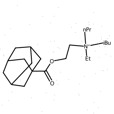 CCC[N+](CC)(CCOC(=O)C12CC3CC(CC(C3)C1)C2)C(C)CC